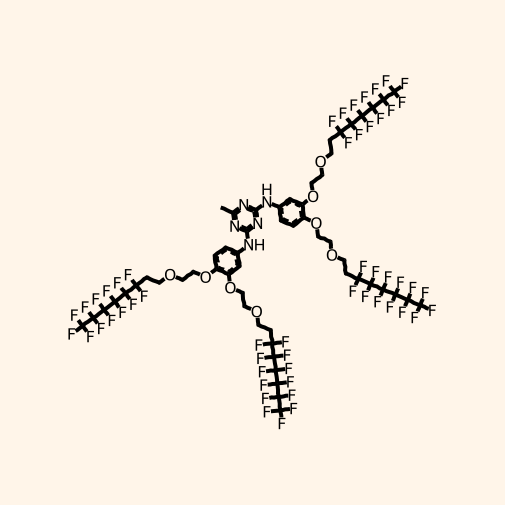 Cc1nc(Nc2ccc(OCCOCCC(F)(F)C(F)(F)C(F)(F)C(F)(F)C(F)(F)C(F)(F)F)c(OCCOCCC(F)(F)C(F)(F)C(F)(F)C(F)(F)C(F)(F)C(F)(F)F)c2)nc(Nc2ccc(OCCOCCC(F)(F)C(F)(F)C(F)(F)C(F)(F)C(F)(F)C(F)(F)F)c(OCCOCCC(F)(F)C(F)(F)C(F)(F)C(F)(F)C(F)(F)C(F)(F)F)c2)n1